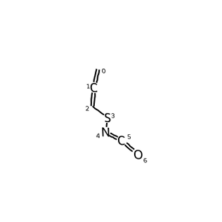 C=C=CSN=C=O